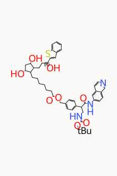 CC(C)(C)OC(=O)NCC(C(=O)Nc1ccc2cnccc2c1)c1ccc(COC(=O)CCCCCCC2C(O)CC(O)C2CC[C@@H](O)c2cc3ccccc3s2)cc1